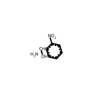 N.O=CO.O=[N+]([O-])c1ccccc1